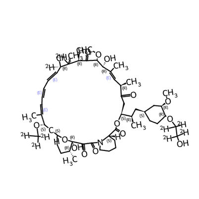 [2H]C([2H])([2H])O[C@H]1C[C@@H]2CC[C@@H](C)[C@@](O)(O2)C(=O)C(=O)N2CCCC[C@H]2C(=O)O[C@H]([C@H](C)C[C@@H]2CC[C@@H](OC([2H])([2H])C([2H])([2H])O)[C@H](OC)C2)CC(=O)[C@H](C)/C=C(\C)[C@@H](O)[C@@H](OC)C(=O)[C@H](C)C([2H])(C)[C@]([2H])(C)/C=C/C=C/C=C/1C